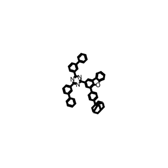 c1ccc(-c2cccc(-c3nc(-c4cccc(-c5ccccc5)c4)nc(-c4cc(-c5ccc(C67CC8CC(CC(C8)C6)C7)cc5)c5oc6ccccc6c5c4)n3)c2)cc1